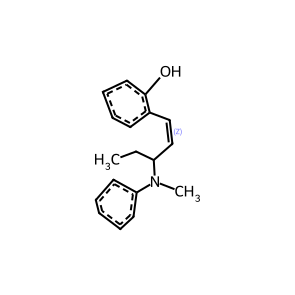 CCC(/C=C\c1ccccc1O)N(C)c1ccccc1